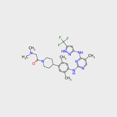 Cc1cc(C2CCN(C(=O)CN(C)C)CC2)c(C)cc1Nc1ncc(C)c(Nc2cc(C(F)(F)F)[nH]n2)n1